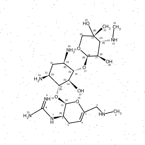 CNCC1=CC[C@@H](NC(=N)N)[C@@H](O[C@H]2[C@H](O)[C@@H](O[C@H]3OC[C@](C)(O)[C@H](NC)[C@H]3O)[C@H](N)C[C@@H]2N)O1